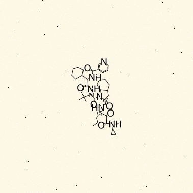 CCC[C@H](NC(=O)[C@@H]1CC2CCCCC2N1C(=O)[C@@H](NC(=O)C(NC(=O)c1cccnc1)C1CCCCC1)C(C)(C)C)C(=O)C(=O)NC1CC1